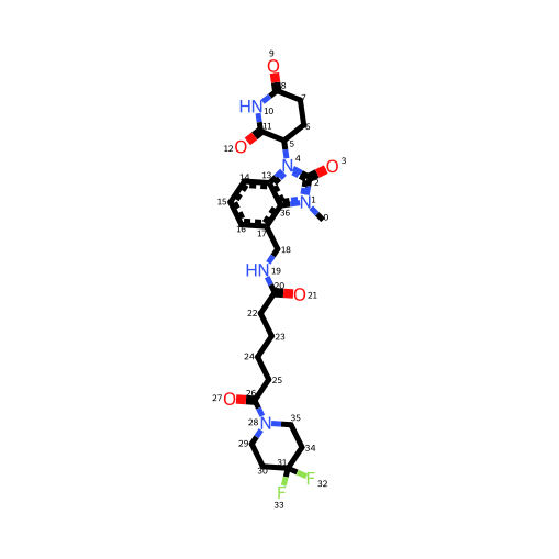 Cn1c(=O)n(C2CCC(=O)NC2=O)c2cccc(CNC(=O)CCCCC(=O)N3CCC(F)(F)CC3)c21